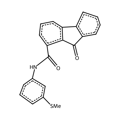 CSc1cccc(NC(=O)c2cccc3c2C(=O)c2ccccc2-3)c1